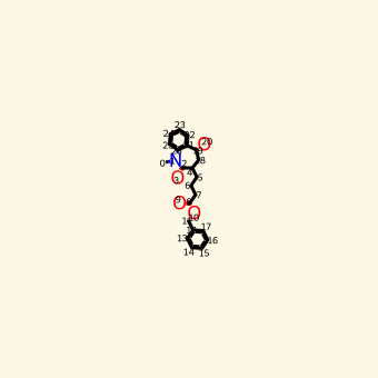 CN1C(=O)C(CCCC(=O)OCc2ccccc2)CC(=O)c2ccccc21